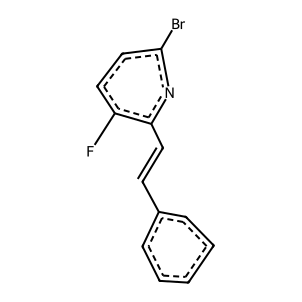 Fc1ccc(Br)nc1C=Cc1ccccc1